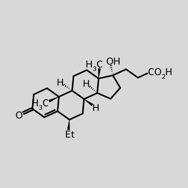 CC[C@@H]1C[C@@H]2[C@H](CC[C@@]3(C)[C@H]2CC[C@]3(O)CCC(=O)O)[C@@]2(C)CCC(=O)C=C12